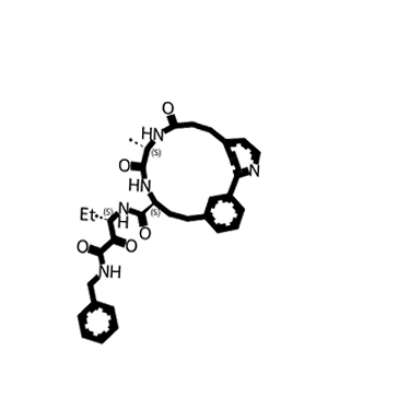 CC[C@H](NC(=O)[C@@H]1CCc2cccc(c2)-c2cc(ccn2)CCC(=O)N[C@@H](C)C(=O)N1)C(=O)C(=O)NCc1ccccc1